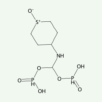 O=[PH](O)OC(NC1CC[S+]([O-])CC1)O[PH](=O)O